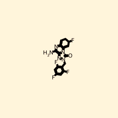 Nc1nc2c(n3c(=O)n(Cc4c(F)cc(F)cc4F)nc13)=CC(F)CC=2